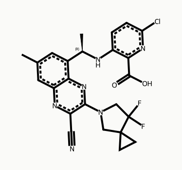 Cc1cc([C@@H](C)Nc2ccc(Cl)nc2C(=O)O)c2nc(N3CC(F)(F)C4(CC4)C3)c(C#N)nc2c1